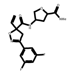 C=CC1(C(=O)NC2COC(C(=O)NC)C2)CC(c2cc(F)cc(F)c2)=NO1